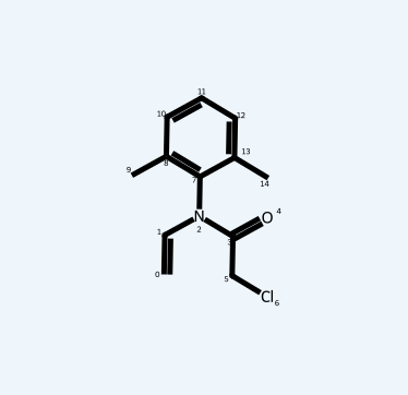 C=CN(C(=O)CCl)c1c(C)cccc1C